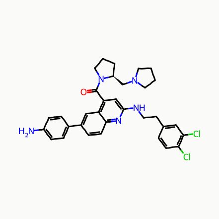 Nc1ccc(-c2ccc3nc(NCCc4ccc(Cl)c(Cl)c4)cc(C(=O)N4CCC[C@H]4CN4CCCC4)c3c2)cc1